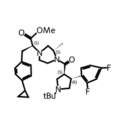 COC(=O)[C@H](Cc1ccc(C2CC2)cc1)N1CCN(C(=O)[C@@H]2CN(C(C)(C)C)C[C@H]2c2ccc(F)cc2F)[C@@H](C)C1